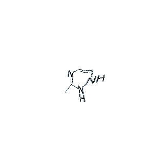 CC1=NC=CNN1